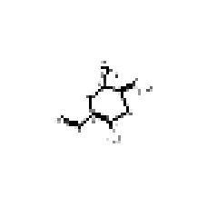 C=C1CC(C)=C(C=O)C[C@H]1C